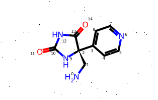 NC[C@@]1(c2ccncc2)NC(=O)NC1=O